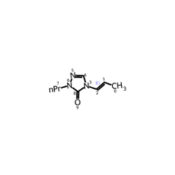 C/C=C/n1cnn(CCC)c1=O